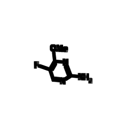 COc1nc(N)ncc1F